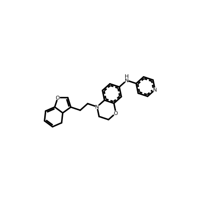 C1=CCC2C(CCN3CCOc4cc(Nc5ccncc5)ccc43)=COC2=C1